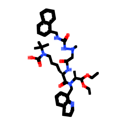 CCOC(OCC)[C@H](C)N(Cc1cccc2cccnc12)C(=O)[C@H](CCCCN(C(=O)O)C(C)(C)C)NC(=O)CN(C)NC(=O)NCc1cccc2ccccc12